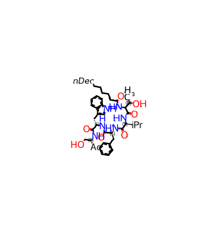 CCCCCCCCCCCCCCCC(=O)NC(C(=O)N[C@H](C(=O)N[C@@H](Cc1ccccc1)C(=O)N[C@@H](Cc1c[nH]c2ccccc12)C(=O)N[C@@H](CO)C(C)=O)C(C)C)[C@@H](C)O